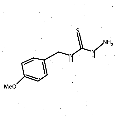 COc1ccc(CNC(=S)NN)cc1